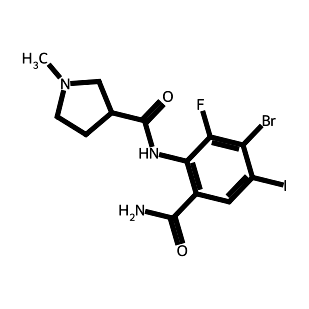 CN1CCC(C(=O)Nc2c(C(N)=O)cc(I)c(Br)c2F)C1